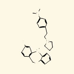 CN(C)c1ccc(CCN2CCC[C@@H]2CN2c3cc(F)ccc3COc3ccccc32)cc1